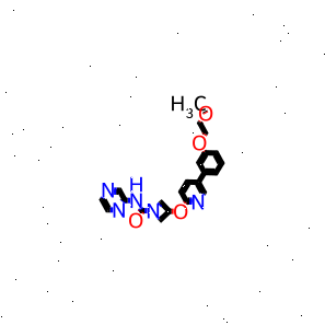 COCCOc1cccc(-c2ccc(OC3CN(C(=O)Nc4cnccn4)C3)nc2)c1